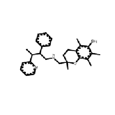 Cc1c(C)c2c(c(C)c1O)CCC(C)(CNCC(c1ccccc1)C(C)c1ccccn1)O2